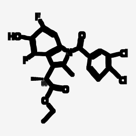 CCOC(=O)[C@H](C)c1c(C)n(C(=O)c2ccc(Cl)c(Cl)c2)c2cc(F)c(O)c(F)c12